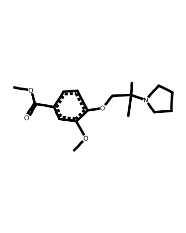 COC(=O)c1ccc(OCC(C)(C)N2CCCC2)c(OC)c1